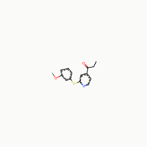 CCC(=O)c1ccnc(Sc2cccc(OC)c2)c1